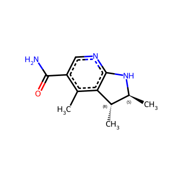 Cc1c(C(N)=O)cnc2c1[C@@H](C)[C@H](C)N2